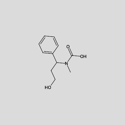 CN(C(=O)O)C(CCO)c1ccccc1